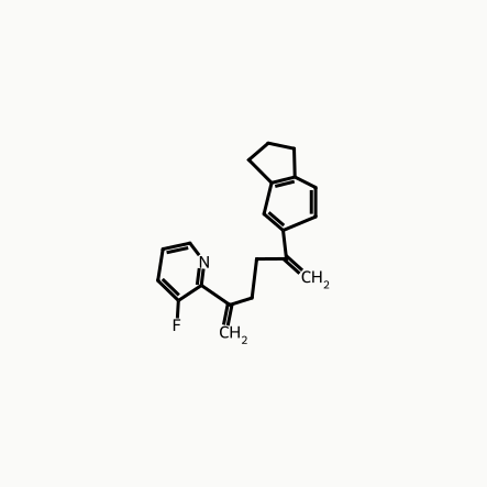 C=C(CCC(=C)c1ncccc1F)c1ccc2c(c1)CCC2